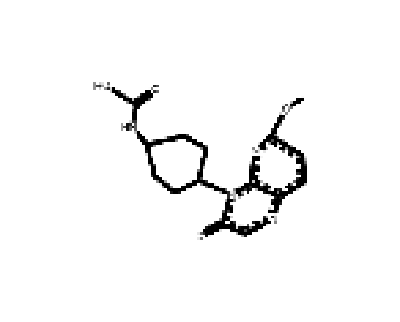 COc1ccc2ncc(=O)n(C3CCC(NC(=O)O)CC3)c2n1